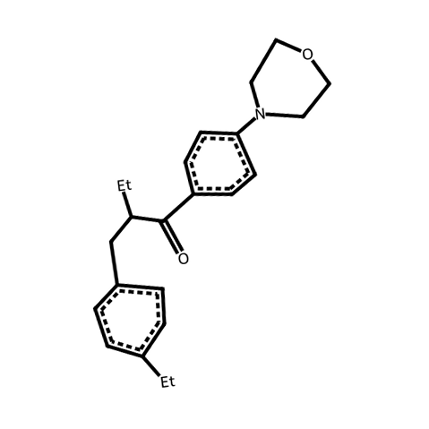 CCc1ccc(CC(CC)C(=O)c2ccc(N3CCOCC3)cc2)cc1